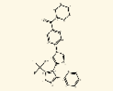 O=C(c1ccc(-n2cnc(-c3c(-c4ccccc4)noc3C(F)(F)F)c2)cc1)N1CCSCC1